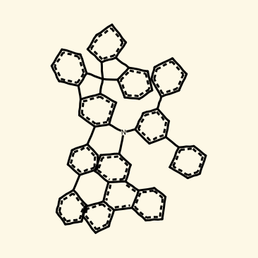 c1ccc(-c2ccc(-c3cc4c(cc3N(c3cc(-c5ccccc5)cc(-c5ccccc5)c3)c3ccc5c6ccccc6c6ccccc6c5c3)C3(c5ccccc5-c5ccccc53)c3ccccc3-4)cc2)cc1